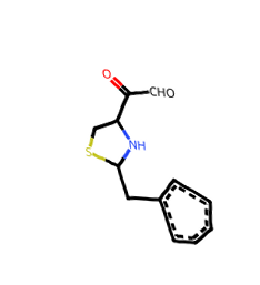 O=CC(=O)C1CSC(Cc2ccccc2)N1